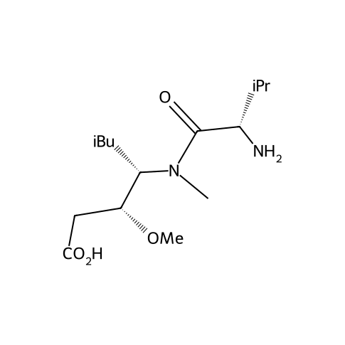 CCC(C)[C@@H]([C@@H](CC(=O)O)OC)N(C)C(=O)[C@@H](N)C(C)C